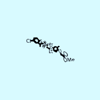 CCCN(CC(CC)Oc1ccc(OCC(=O)OC)c(C)c1)S(=O)(=O)c1sc2ccc(Cl)cc2c1C